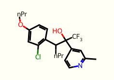 CCCOc1ccc(C(CCC)C(O)(c2ccnc(C)c2)C(F)(F)F)c(Cl)c1